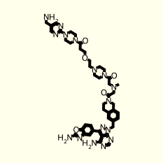 CN(CC(=O)N1CCN(CCOCCC(=O)N2CCN(c3ncc(CN)cn3)CC2)CC1)CC(=O)N1CCc2cc(Cn3nc(-c4ccc5oc(N)nc5c4)c4c(N)ncnc43)ccc2C1